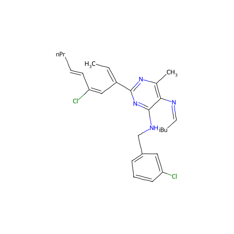 C\C=C(/C=C(Cl)\C=C\CCC)c1nc(C)c(/N=C\C(C)CC)c(NCc2cccc(Cl)c2)n1